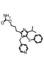 CC(C)c1nc(CCCOC(N)=O)n(Cc2ccncc2)c1Sc1ccccc1